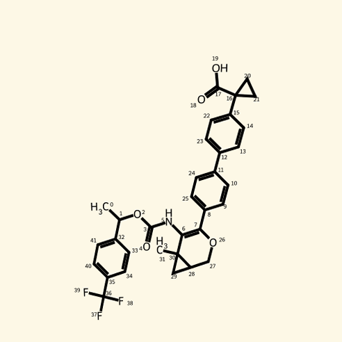 CC(OC(=O)NC1=C(c2ccc(-c3ccc(C4(C(=O)O)CC4)cc3)cc2)OCC2CC12C)c1ccc(C(F)(F)F)cc1